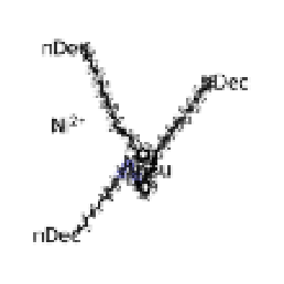 CCCCCCCCCCCCCCCCCCCCC/C=C/C(=N/c1ccccc1CCC#CCCCCCCCCCCCCCCCCCCCCCCCC)C(/CCCC)=N/c1ccccc1CCC#CCCCCCCCCCCCCCCCCCCCCCCCC.[Ni+2]